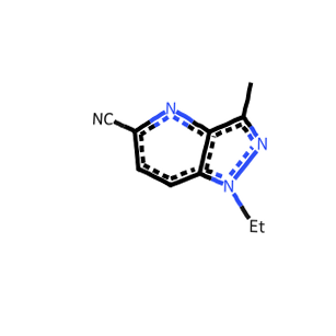 CCn1nc(C)c2nc(C#N)ccc21